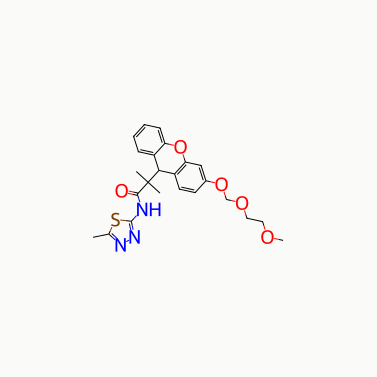 COCCOCOc1ccc2c(c1)Oc1ccccc1C2C(C)(C)C(=O)Nc1nnc(C)s1